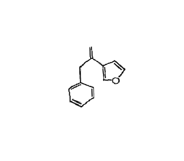 C=C(Cc1ccccc1)c1ccoc1